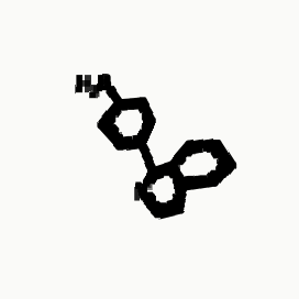 Bc1ccc(-c2nccc3ccccc23)cc1